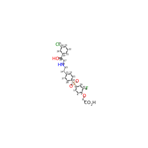 O=C(O)COc1ccc(S(=O)(=O)c2ccc(CCNC[C@@H](O)c3cccc(Cl)c3)cc2)cc1F